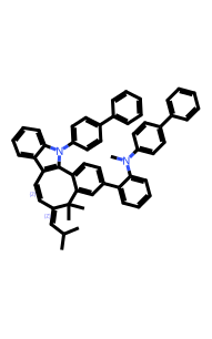 CC(C)/C=C1/C=C\c2c(n(-c3ccc(-c4ccccc4)cc3)c3ccccc23)-c2ccc(-c3ccccc3N(C)c3ccc(-c4ccccc4)cc3)cc2C1(C)C